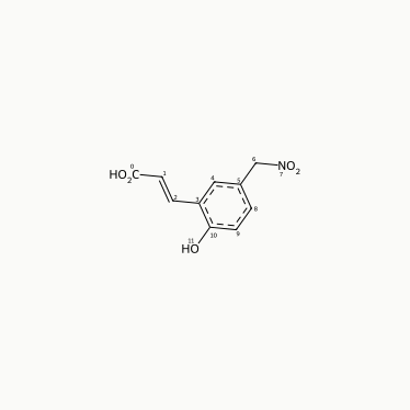 O=C(O)/C=C/c1cc(C[N+](=O)[O-])ccc1O